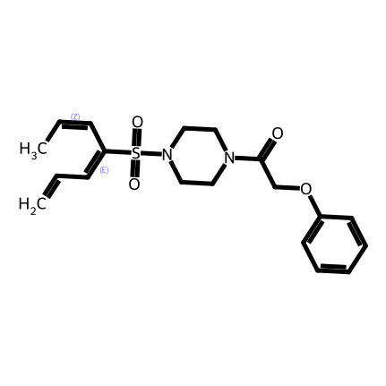 C=C/C=C(\C=C/C)S(=O)(=O)N1CCN(C(=O)COc2ccccc2)CC1